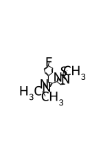 CSc1nccc(-c2cn(C(C)C)nc2-c2ccc(F)cc2)n1